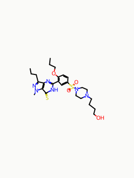 CCCOc1ccc(S(=O)(=O)N2CCN(CCCCO)CC2)cc1-c1nc2c(CCC)nn(C)c2c(=S)[nH]1